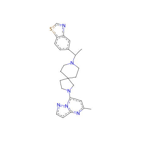 Cc1cc(N2CCC3(CCN(C(C)c4ccc5scnc5c4)CC3)C2)n2nccc2n1